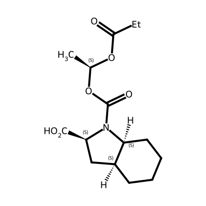 CCC(=O)O[C@H](C)OC(=O)N1[C@H](C(=O)O)C[C@@H]2CCCC[C@@H]21